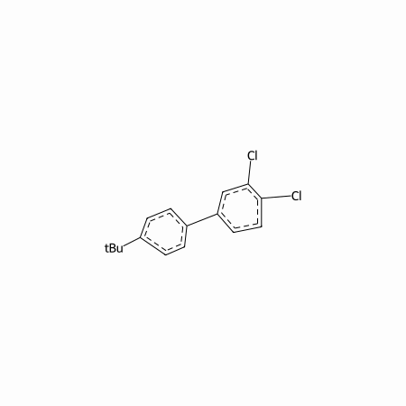 CC(C)(C)c1ccc(-c2ccc(Cl)c(Cl)c2)cc1